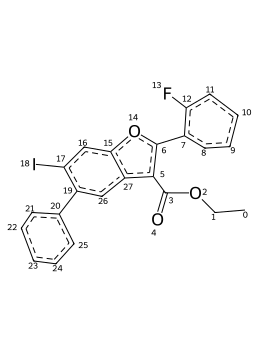 CCOC(=O)c1c(-c2ccccc2F)oc2cc(I)c(-c3ccccc3)cc12